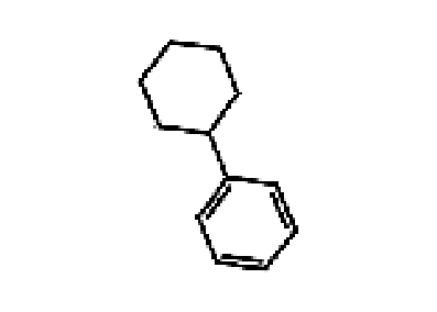 [CH]1CCCCC1c1ccccc1